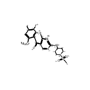 COc1cc(C)c(F)cc1C(=O)c1cnc(NC2CCN(S(C)(=O)=O)CC2)nc1N